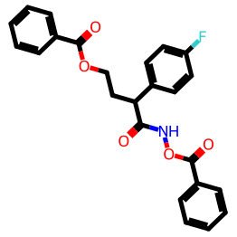 O=C(OCCC(C(=O)NOC(=O)c1ccccc1)c1ccc(F)cc1)c1ccccc1